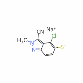 Cn1nc2ccc([S-])c(Cl)c2c1C#N.[Na+]